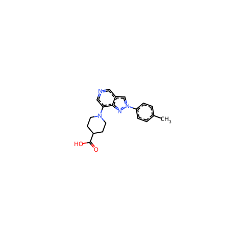 Cc1ccc(-n2cc3cncc(N4CCC(C(=O)O)CC4)c3n2)cc1